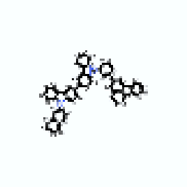 c1cc(-c2cc3c4c(cccc4c2)-c2ccccc2-3)cc(-n2c3ccccc3c3cc(-c4ccc5c(c4)c4ccccc4n5-c4ccc5ccccc5c4)ccc32)c1